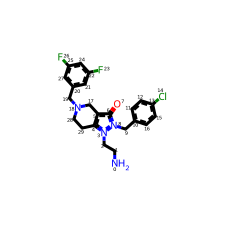 NCCn1c2c(c(=O)n1Cc1ccc(Cl)cc1)CN(Cc1cc(F)cc(F)c1)CC2